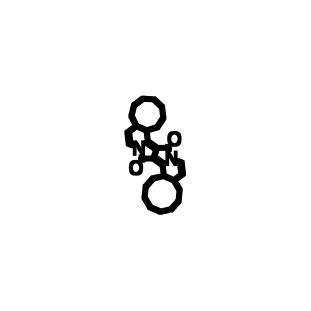 O=C1C2=C3C4CCCCCCCC4C=CN3C(=O)C2=C2C3CCCCCCCCC3C=CN12